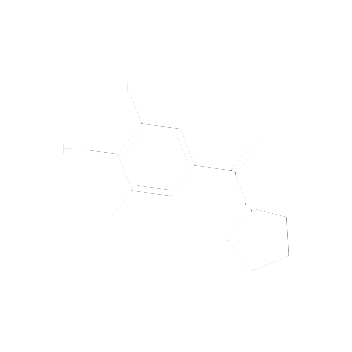 O=C(c1cc(Cl)c(O)c(I)c1)N1CCCC1